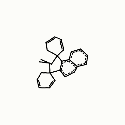 CCC1(c2ccc3ccccc3c2C2(CC)C=CC=CC2)C=CC=CC1